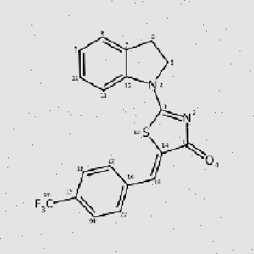 O=C1N=C(N2CCc3ccccc32)SC1=Cc1ccc(C(F)(F)F)cc1